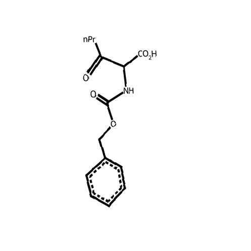 CCCC(=O)C(NC(=O)OCc1ccccc1)C(=O)O